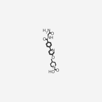 NC(=O)CNC(=O)c1ccc(-c2ccc(OCC3CCN(C(=O)O)CC3)cn2)cc1